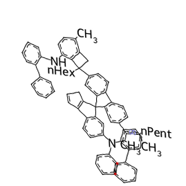 CCCCCCC1(c2ccc3c(c2)C2(C4=C(C=CC4)c4ccc(N(c5ccccc5)c5ccccc5-c5ccccc5)cc42)c2cc(/C(C)=C(/C)CCCCC)ccc2-3)Cc2c(C)ccc(Nc3ccccc3-c3ccccc3)c21